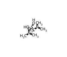 CN(C)C.CN(C)C.O=S(=O)(O)O